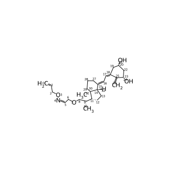 C=CCO/N=C\COC[C@@H](C)[C@H]1CC[C@H]2/C(=C/C=C3/C[C@@H](O)C[C@H](O)C3=C)CCC[C@]12C